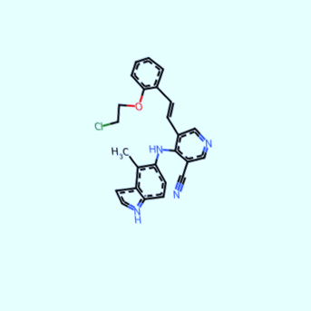 Cc1c(Nc2c(C#N)cncc2C=Cc2ccccc2OCCCl)ccc2[nH]ccc12